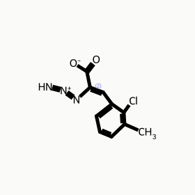 Cc1cccc(/C=C(\N=[N+]=N)C(=O)[O-])c1Cl